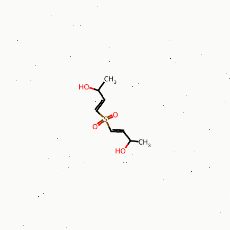 CC(O)/C=C/S(=O)(=O)/C=C/C(C)O